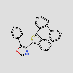 c1ccc(-c2ccccc2-c2sc(-c3ncoc3-c3ccccc3)c3ccccc23)cc1